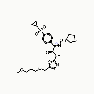 COCCCOCc1cnc(NC(=O)/C(=N/O[C@@H]2CCOC2)c2ccc(S(=O)(=O)C3CC3)cc2)s1